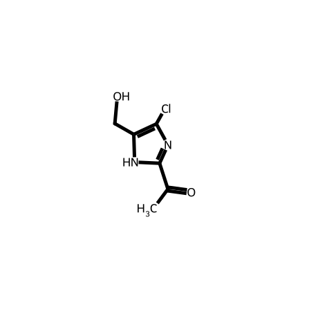 CC(=O)c1nc(Cl)c(CO)[nH]1